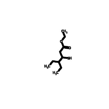 CCOC(=O)CC(S)C(CC)CC